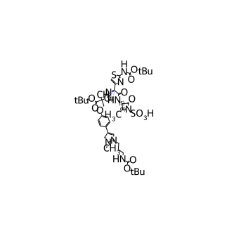 C[C@@H]1[C@H](NC(=O)/C(=N\OC(C)(COc2ccc(-c3cn(CCCNC(=O)OC(C)(C)C)[n+](C)c3)cc2)C(=O)OC(C)(C)C)c2csc(NC(=O)OC(C)(C)C)n2)C(=O)N1S(=O)(=O)O